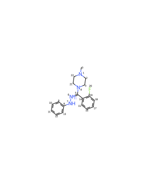 CN1CCN(/C(=N/Nc2ccccc2)c2ccccc2F)CC1